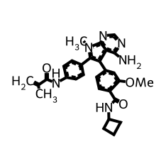 C=C(C)C(=O)Nc1ccc(-c2c(-c3ccc(C(=O)NC4CCC4)c(OC)c3)c3c(N)ncnc3n2C)cc1